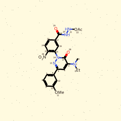 CCN(C)c1cc(-c2cccc(OC)c2)nn(-c2cc(C(=O)NNOC(C)=O)ccc2[N+](=O)[O-])c1=O